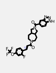 O=C(/C=C/c1ccc(OC(F)(F)F)cc1F)N1CCC2CN(C(=O)c3ccc4[nH]nnc4c3)CC2CC1